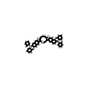 Cc1ccccc1N(c1ccc2cc3c(cc2c1)oc1cccc2oc4cc5cc(N(c6ccccc6C)c6ccccc6C)ccc5cc4c2cccc13)c1ccccc1C